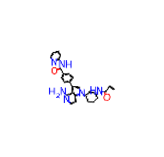 C=CC(=O)NC1CCCC(n2cc(-c3ccc(C(=O)Nc4ccccn4)cc3)c3c(N)nccc32)C1